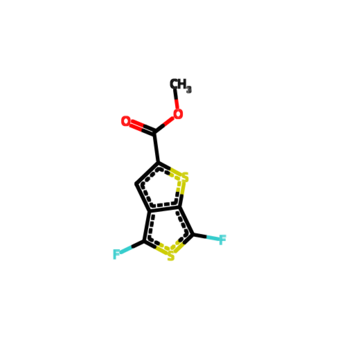 COC(=O)c1cc2c(F)sc(F)c2s1